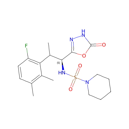 Cc1ccc(F)c(C(C)[C@H](NS(=O)(=O)N2CCCCC2)c2n[nH]c(=O)o2)c1C